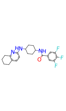 O=C(NC1CCC(Nc2ccc3c(n2)CCCC3)CC1)c1cc(F)c(F)c(F)c1